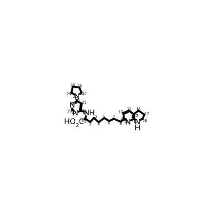 O=C(O)C(CCCCCCCc1ccc2c(n1)NCCC2)Nc1cc(N2CCCC2)ncn1